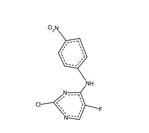 O=[N+]([O-])c1ccc(Nc2nc(Cl)ncc2F)cc1